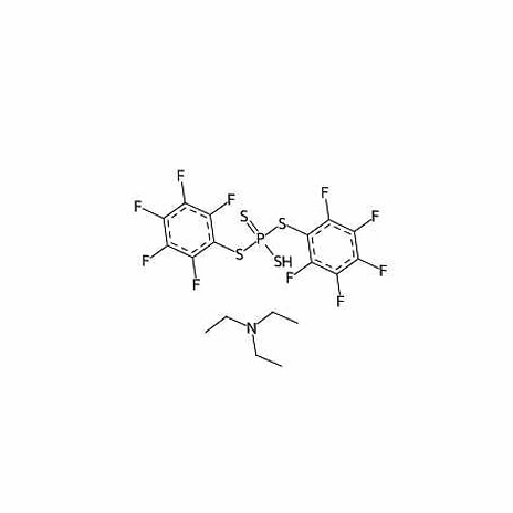 CCN(CC)CC.Fc1c(F)c(F)c(SP(=S)(S)Sc2c(F)c(F)c(F)c(F)c2F)c(F)c1F